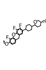 CCCC1CCC(C2CCC(c3cc4c(c(F)c3F)Oc3c(ccc(OCC)c3F)C4)CC2)OC1